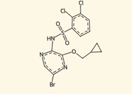 O=S(=O)(Nc1ncc(Br)nc1OCC1CC1)c1cccc(Cl)c1Cl